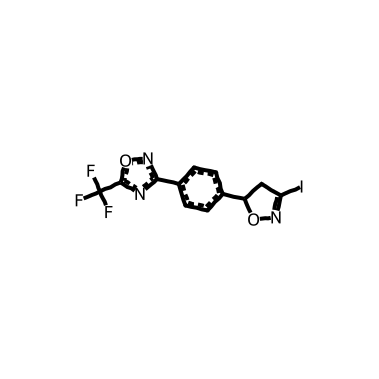 FC(F)(F)c1nc(-c2ccc(C3CC(I)=NO3)cc2)no1